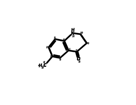 [CH2]c1ccc2c(c1)C(=O)CCN2